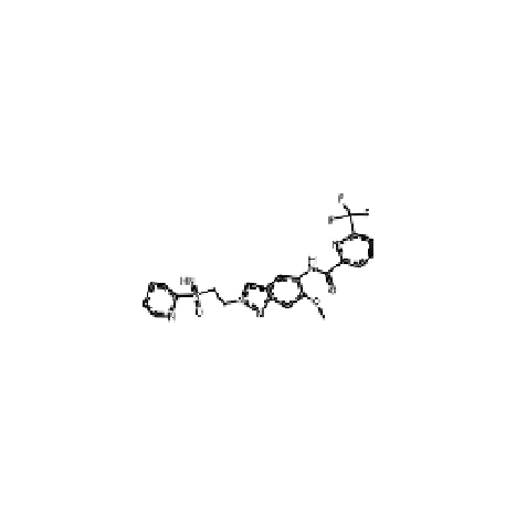 COc1cc2nn(CCS(=N)(=O)c3ccccn3)cc2cc1NC(=O)c1cccc(C(F)(F)F)n1